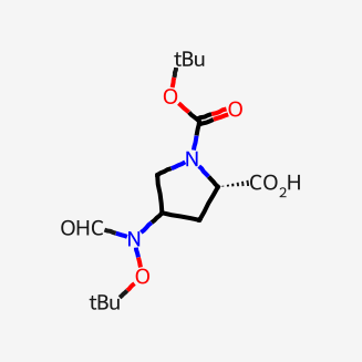 CC(C)(C)OC(=O)N1CC(N(C=O)OC(C)(C)C)C[C@H]1C(=O)O